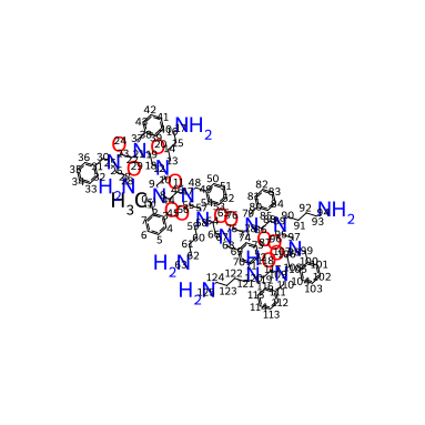 C[C@@H](c1ccccc1)N(CC(=O)N(CCCCN)CC(=O)N(CC(=O)N(CC(N)=O)Cc1ccccc1)Cc1ccccc1)C(=O)CN(Cc1ccccc1)C(=O)CN(CCCCN)C(=O)CN(Cc1ccccc1)C(=O)CN(Cc1ccccc1)C(=O)CN(CCCCN)C(=O)CN(Cc1ccccc1)C(=O)CN(Cc1ccccc1)C(=O)CNCCCCN